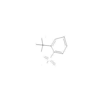 CC(C)(C)C(C)(C)c1ccccc1S(=O)(=O)C(F)(F)F